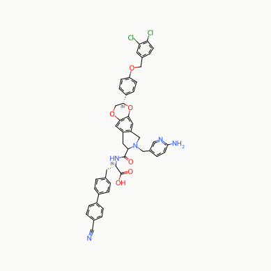 N#Cc1ccc(-c2ccc(C[C@H](NC(=O)C3Cc4cc5c(cc4CN3Cc3ccc(N)nc3)O[C@@H](c3ccc(OCc4ccc(Cl)c(Cl)c4)cc3)CO5)C(=O)O)cc2)cc1